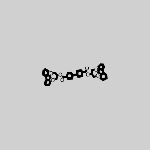 O=C(OC1COC2(OC1)c1ccccc1-c1ccccc12)c1ccc(-c2ccc(C(=O)OC3COC4(OC3)c3ccccc3-c3ccccc34)cc2)cc1